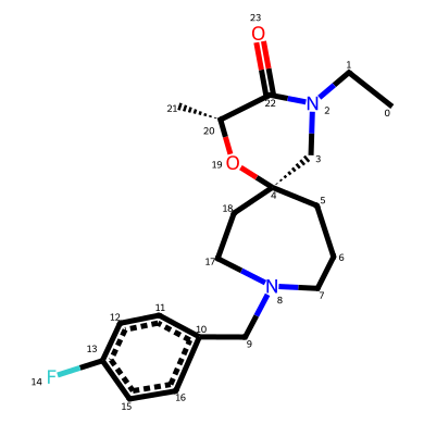 CCN1C[C@@]2(CCCN(Cc3ccc(F)cc3)CC2)O[C@H](C)C1=O